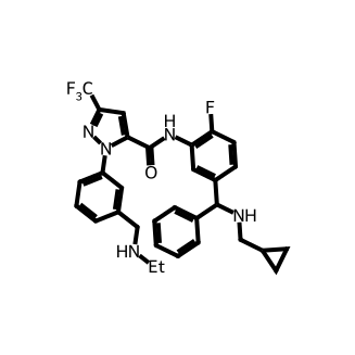 CCNCc1cccc(-n2nc(C(F)(F)F)cc2C(=O)Nc2cc(C(NCC3CC3)c3ccccc3)ccc2F)c1